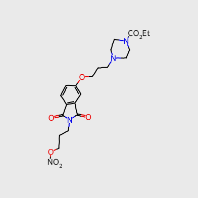 CCOC(=O)N1CCN(CCCOc2ccc3c(c2)C(=O)N(CCCO[N+](=O)[O-])C3=O)CC1